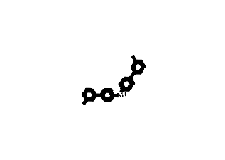 Cc1cccc(-c2ccc(Nc3ccc(-c4cccc(C)c4)cc3)cc2)c1